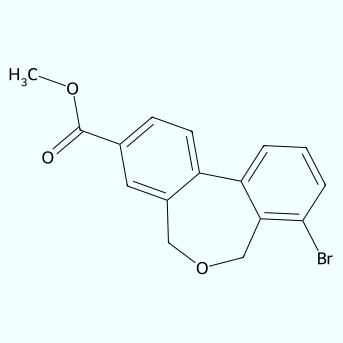 COC(=O)c1ccc2c(c1)COCc1c(Br)cccc1-2